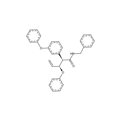 C=C[C@H](Oc1ccccc1)[C@H](C(=O)NCc1ccccc1)c1cccc(Oc2ccccc2)c1